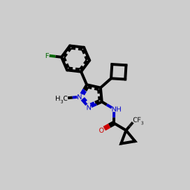 Cn1nc(NC(=O)C2(C(F)(F)F)CC2)c(C2CCC2)c1-c1cccc(F)c1